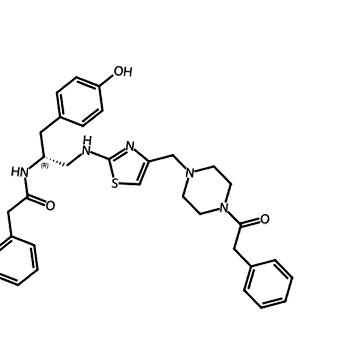 O=C(Cc1ccccc1)N[C@@H](CNc1nc(CN2CCN(C(=O)Cc3ccccc3)CC2)cs1)Cc1ccc(O)cc1